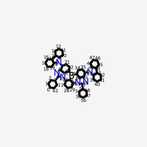 c1ccc(-c2nc3c(-n4c5ccccc5c5ccccc54)ccc4c3n2-c2cccc3c2B4c2ccc(-n4c5ccccc5c5ccccc54)c4nc(-c5ccccc5)n-3c24)cc1